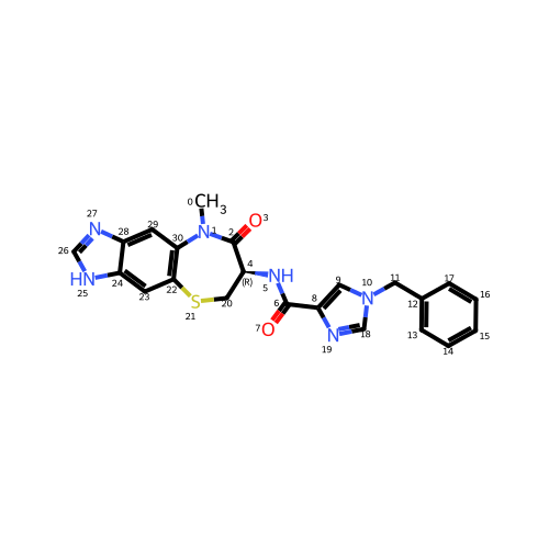 CN1C(=O)[C@@H](NC(=O)c2cn(Cc3ccccc3)cn2)CSc2cc3[nH]cnc3cc21